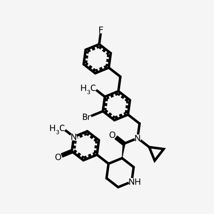 Cc1c(Br)cc(CN(C(=O)[C@H]2CNCCC2c2ccn(C)c(=O)c2)C2CC2)cc1Cc1cccc(F)c1